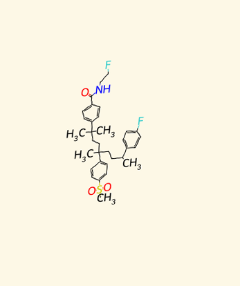 CC(CCC(C)(CCC(C)(C)c1ccc(C(=O)NCCF)cc1)c1ccc(S(C)(=O)=O)cc1)c1ccc(F)cc1